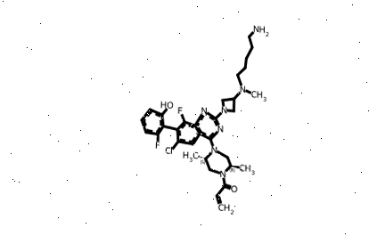 C=CC(=O)N1C[C@H](C)N(c2nc(N3CC(N(C)CCCCCN)C3)nc3c(F)c(-c4c(O)cccc4F)c(Cl)cc23)C[C@H]1C